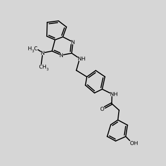 CN(C)c1nc(NCc2ccc(NC(=O)Cc3cccc(O)c3)cc2)nc2ccccc12